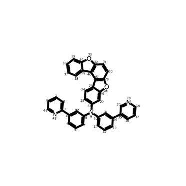 c1ccc(-c2cccc(N(c3cccc(-c4cccnc4)c3)c3ccc4c(c3)oc3ccc5oc6ccccc6c5c34)c2)nc1